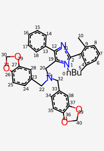 CCCCn1c(-c2c(C)cccc2C)nc(-c2ccccc2)c1CN(Cc1ccc2c(c1)OCO2)Cc1ccc2c(c1)OCO2